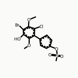 COc1c(Cl)c(-c2ccc(OS(C)(=O)=O)cc2)c(OC)c(O)c1Br